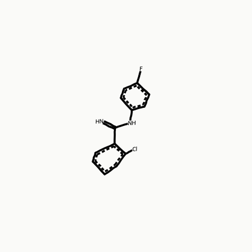 N=C(Nc1ccc(F)cc1)c1ccccc1Cl